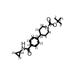 CC(C)(C)OC(=O)N1CCC(c2ccc(C(=O)NC3CC3)cc2)CC1